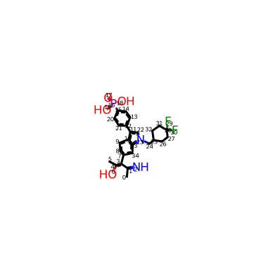 CC(=N)/C(=C(/C)O)c1ccc2c(-c3ccc(P(=O)(O)O)cc3)cn(CC3CCC(F)(F)CC3)c2c1